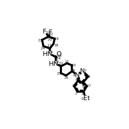 CCc1ccc2c(cnn2C2CCC(NC(=O)NC3CCC(F)(F)CC3)CC2)c1